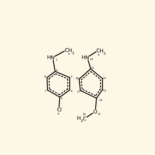 CNc1ccc(Cl)cc1.CNc1ccc(OC)cc1